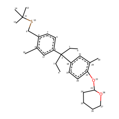 CCC(CC)(c1ccc(CSC(C)(C)C)c(C)c1)c1ccc(OC2CCCCO2)c(C)c1